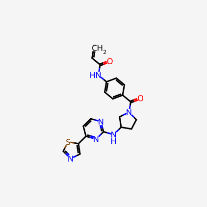 C=CC(=O)Nc1ccc(C(=O)N2CCC(Nc3nccc(-c4cncs4)n3)C2)cc1